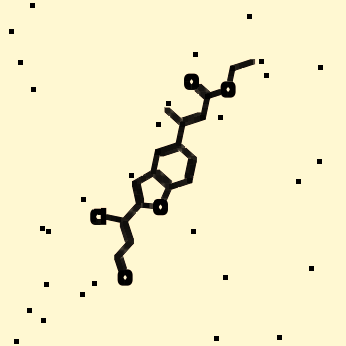 CCOC(=O)/C=C(\C)c1ccc2oc(/C(Cl)=C/C=O)cc2c1